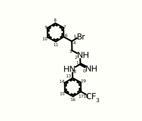 N=C(NCC(Br)c1ccccc1)Nc1cccc(C(F)(F)F)c1